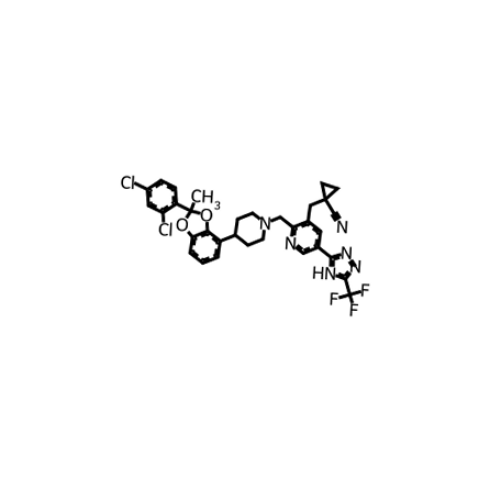 CC1(c2ccc(Cl)cc2Cl)Oc2cccc(C3CCN(Cc4ncc(-c5nnc(C(F)(F)F)[nH]5)cc4CC4(C#N)CC4)CC3)c2O1